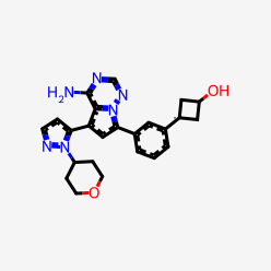 Nc1ncnn2c(-c3cccc([C]4CC(O)C4)c3)cc(-c3ccnn3C3CCOCC3)c12